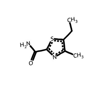 CCc1sc(C(N)=O)nc1C